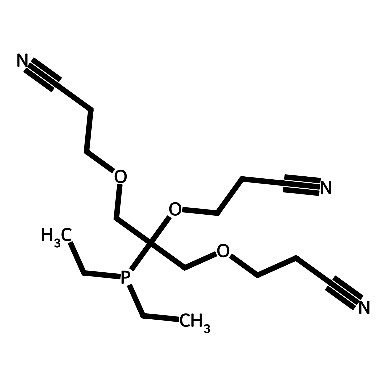 CCP(CC)C(COCCC#N)(COCCC#N)OCCC#N